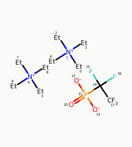 CC[N+](CC)(CC)CC.CC[N+](CC)(CC)CC.O=P([O-])([O-])C(F)(F)C(F)(F)F